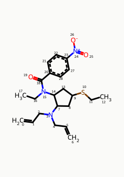 C=CCN(CC=C)C1CC(SCC)CC1N(CC)C(=O)c1ccc([N+](=O)[O-])cc1